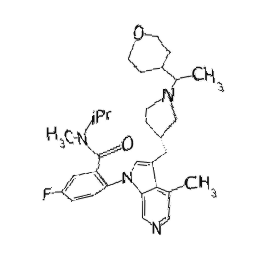 Cc1cncc2c1c(C[C@@H]1CCN(C(C)C3CCOCC3)C1)cn2-c1ccc(F)cc1C(=O)N(C)C(C)C